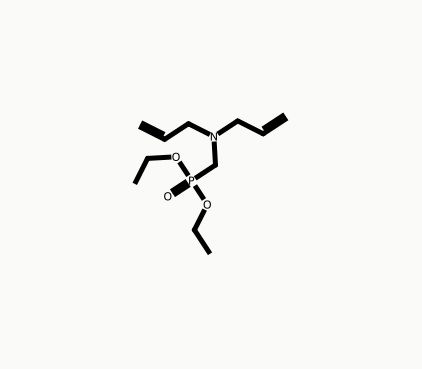 C=CCN(CC=C)CP(=O)(OCC)OCC